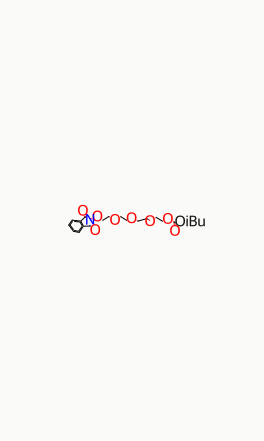 CC(C)COC(=O)OCCOCCOCCOCCON1C(=O)c2ccccc2C1=O